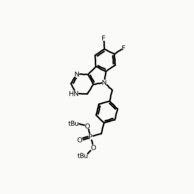 CC(C)(C)OP(=O)(Cc1ccc(Cn2c3c(c4cc(F)c(F)cc42)N=CNC3)cc1)OC(C)(C)C